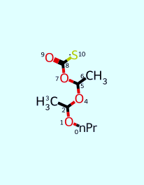 CCCOC(C)OC(C)OC(=O)[S]